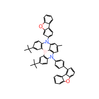 Cc1cc2c3c(c1)N(c1ccc4c(c1)oc1ccccc14)c1ccc(C(C)(C)C)cc1B3c1cc(C(C)(C)C)ccc1N2c1ccc(-c2cccc3oc4ccccc4c23)cc1